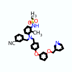 Cc1c(NS(C)(=O)=O)cccc1N(Cc1ccc(Oc2cccc(OCc3cccnc3)c2)cc1)Cc1cccc(C#N)c1